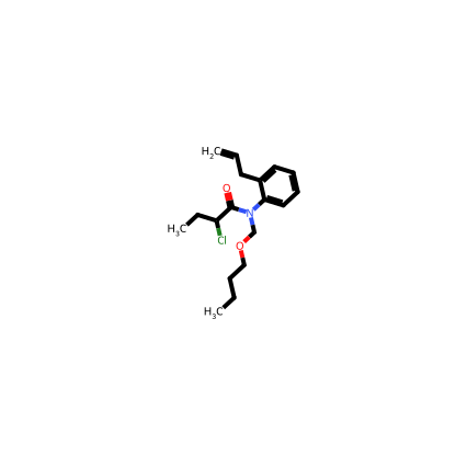 C=CCc1ccccc1N(COCCCC)C(=O)C(Cl)CC